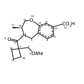 COCC1(C(=O)N2Cc3ccc(C(=O)O)cc3OC[C@@H]2C)CCC1